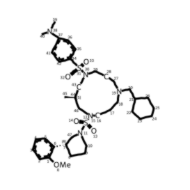 COc1ccccc1[C@H]1CCCN(S(=O)(=O)N2CCCN(CC3CCCCC3)CCCN(S(=O)(=O)c3ccc(N(C)C)cc3)C[C@H](C)C2)C1